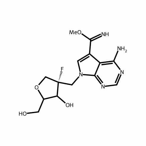 COC(=N)c1cn(C[C@]2(F)COC(CO)C2O)c2ncnc(N)c12